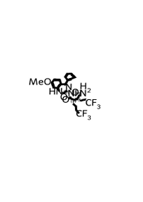 COc1ccc2c(c1)NC(=O)[C@@H](NC(=O)[C@@H](CCCC(F)(F)F)[C@@H](CCC(F)(F)F)C(N)=O)N=C2c1ccccc1